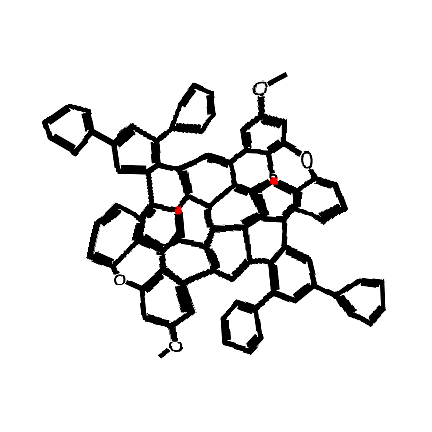 COc1cc2c3c(c1)-c1cc(-c4c(-c5ccccc5)cc(-c5ccccc5)cc4-c4ccccc4)c4cc5c6c(cc(-c7c(-c8ccccc8)cc(-c8ccccc8)cc7-c7ccccc7)c7cc(c1c4c76)B3c1ccccc1O2)-c1cc(OC)cc2c1B5c1ccccc1O2